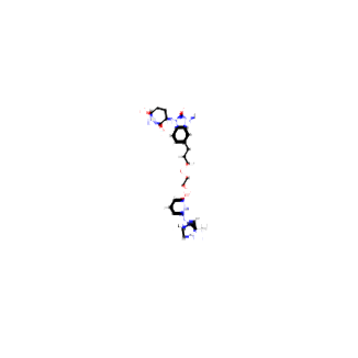 Cn1c(=O)n(C2CCC(=O)NC2=O)c2ccc(CCCOCCOc3cccc(N4C[C@H]5C[C@@H]4CN5)n3)cc21